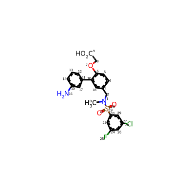 CN(Cc1ccc(OCC(=O)O)c(-c2cccc(N)c2)c1)S(=O)(=O)c1cc(F)cc(Cl)c1